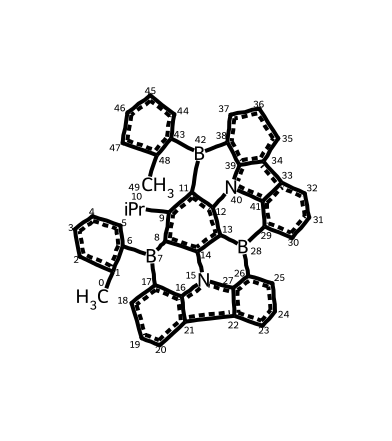 Cc1ccccc1B1c2c(C(C)C)c3c4c5c2-n2c6c1cccc6c1cccc(c12)B5c1cccc2c5cccc(c5n-4c12)B3c1ccccc1C